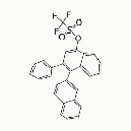 O=S(=O)(Oc1cc(-c2ccccc2)c(-c2ccc3ccccc3c2)c2ccccc12)C(F)(F)F